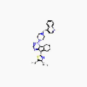 Cc1nc(-c2c3ncnn(N4CCN(Cc5ccnc6ccccc56)CC4)c-3c3c2CCCC3)sc1C